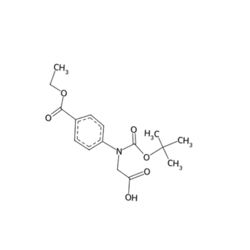 CCOC(=O)c1ccc(N(CC(=O)O)C(=O)OC(C)(C)C)cc1